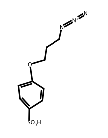 [N-]=[N+]=NCCCOc1ccc(S(=O)(=O)O)cc1